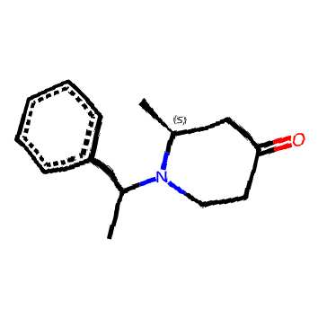 CC(c1ccccc1)N1CCC(=O)C[C@@H]1C